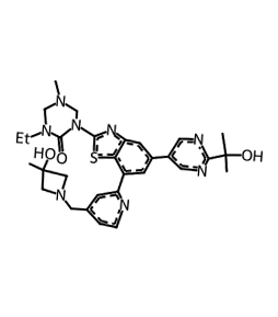 CCN1CN(C)CN(c2nc3cc(-c4cnc(C(C)(C)O)nc4)cc(-c4cc(CN5CC(C)(O)C5)ccn4)c3s2)C1=O